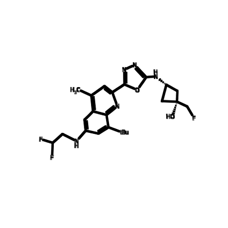 Cc1cc(-c2nnc(N[C@H]3C[C@](O)(CF)C3)o2)nc2c(C(C)(C)C)cc(NCC(F)F)cc12